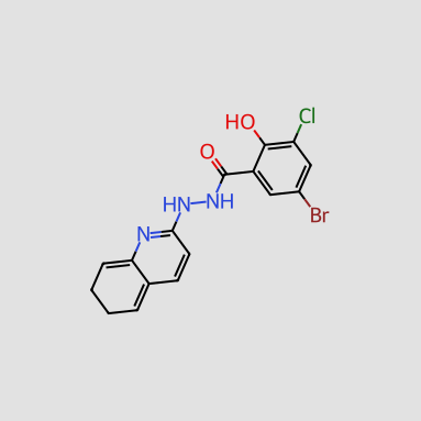 O=C(NNc1ccc2c(n1)=CCCC=2)c1cc(Br)cc(Cl)c1O